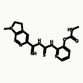 CNC(=O)Oc1cccnc1NC(=S)NC(=N)c1cc2c(cn1)N(C)CC2